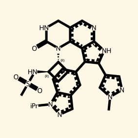 CC(C)n1ncc2cc(-c3c(-c4cnn(C)c4)[nH]c4ncc5c(c34)N([C@@H]3CC[C@H]3NS(C)(=O)=O)C(=O)NC5)ccc21